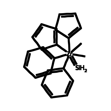 [CH3][Zr]([CH3])(=[SiH2])([C]1=CC=CC1)([C]1=CC=CC1)([c]1ccccc1)[c]1ccccc1